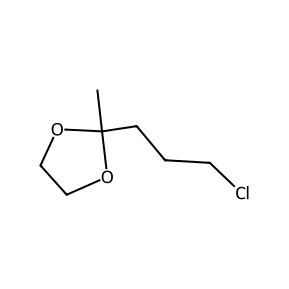 CC1(CCCCl)OCCO1